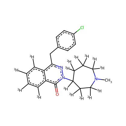 [2H]c1c([2H])c([2H])c2c(=O)n(C3([2H])C([2H])([2H])C([2H])([2H])N(C)C([2H])([2H])C([2H])([2H])C3([2H])[2H])nc(Cc3ccc(Cl)cc3)c2c1[2H]